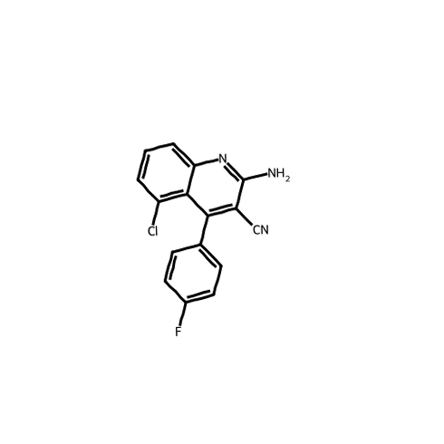 N#Cc1c(N)nc2cccc(Cl)c2c1-c1ccc(F)cc1